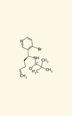 C=CCC[C@H](N[S+]([O-])C(C)(C)C)c1cnccc1Br